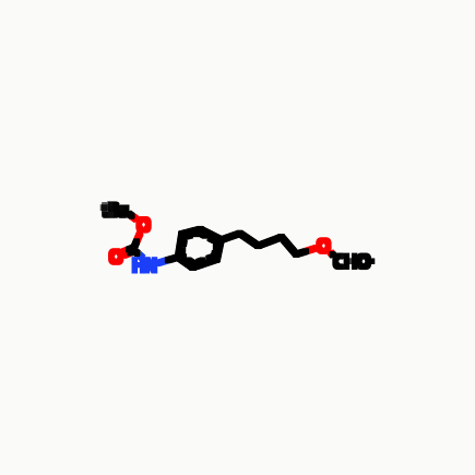 CC(C)(C)OC(=O)Nc1ccc(CCCCO[C]=O)cc1